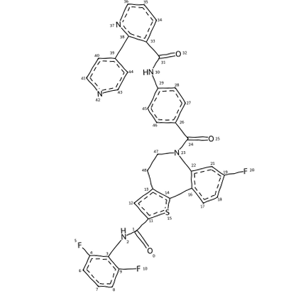 O=C(Nc1c(F)cccc1F)c1cc2c(s1)-c1ccc(F)cc1N(C(=O)c1ccc(NC(=O)c3cccnc3-c3ccncc3)cc1)CC2